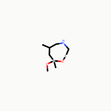 CO[Si]1(C)CC(C)CNCCO1